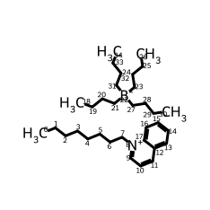 CCCCCCCC[n+]1cccc2ccccc21.CCCC[B-](CCCC)(CCCC)CCCC